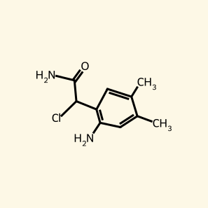 Cc1cc(N)c(C(Cl)C(N)=O)cc1C